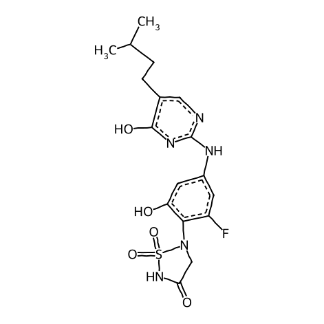 CC(C)CCc1cnc(Nc2cc(O)c(N3CC(=O)NS3(=O)=O)c(F)c2)nc1O